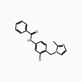 Cc1nccn1Cc1ccc(NC(=O)c2ccccc2)cc1Cl